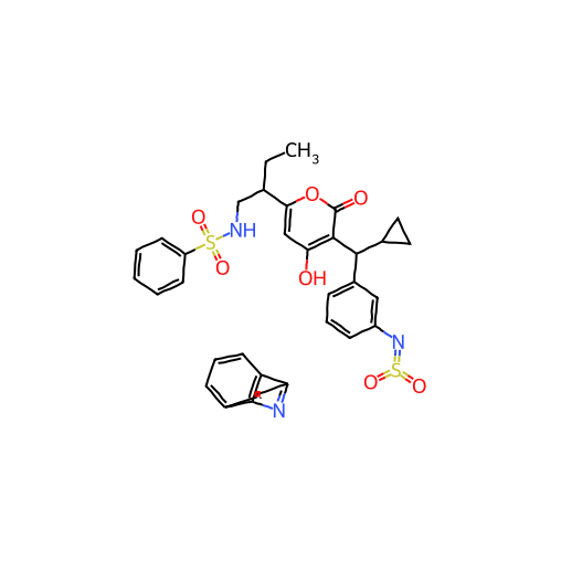 CCC(CNS(=O)(=O)c1ccccc1)c1cc(O)c(C(c2cccc(N=S(=O)=O)c2)C2CC2)c(=O)o1.c1cc2c3nc-2ccc3c1